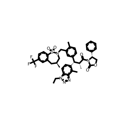 CCn1nnc2c(C)c([C@H](c3ccc(C)c(CN4C[C@@H](C)Cc5cc(C(F)(F)F)ccc5S4(=O)=O)c3)[C@@H](C)C(=O)N3C(=O)OC[C@H]3c3ccccc3)ccc21